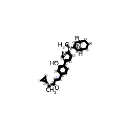 CN(C(=O)/C=C/c1ccc(-c2ccc(N(C)[C@@H]3C[C@H]4CCC[C@@H](C3)N4)nn2)c(O)c1)C1CC1